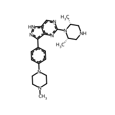 C[C@@H]1CNC[C@H](C)N1c1ncc2[nH]nc(-c3ccc(N4CCN(C)CC4)cc3)c2n1